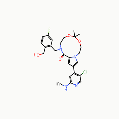 CC(C)Nc1cc(-c2cc3n(c2)CCOC(C)(C)OCCN(Cc2cc(F)ccc2CO)C3=O)c(Cl)cn1